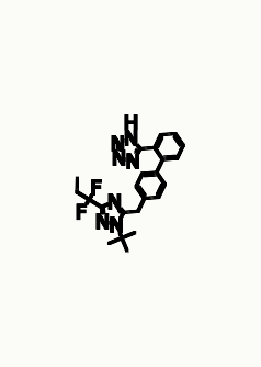 CCC(F)(F)c1nc(Cc2ccc(-c3ccccc3-c3nnn[nH]3)cc2)n(C(C)(C)C)n1